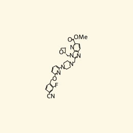 COC(=O)c1ccc2nc(CN3CCN(c4cccc(OCc5ccc(C#N)cc5F)n4)CC3)n(C[C@@H]3CCO3)c2n1